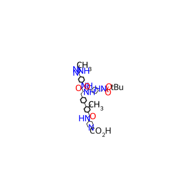 Cc1nnc(-c2ccc(NC(=O)[C@H](Cc3ccc(-c4ccc(C(=O)NC5CCN(C(=O)O)CC5)cc4C)cc3)NC(=O)[C@H]3CC[C@H](CNC(=O)OC(C)(C)C)CC3)cc2)[nH]1